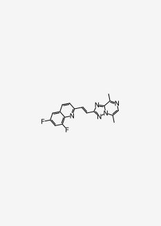 Cc1ncc(C)n2nc(C=Cc3ccc4cc(F)cc(F)c4n3)nc12